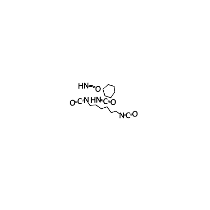 C1CCCCC1.N=C=O.N=C=O.O=C=NCCCCCCN=C=O